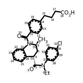 CCN(C(=O)[C@H]1C[C@H](C)N(C(=O)c2ccc(CCCC(=O)O)cc2)c2ccccc21)c1ccc(Cl)cc1